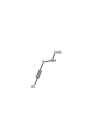 CCC#CONC=O